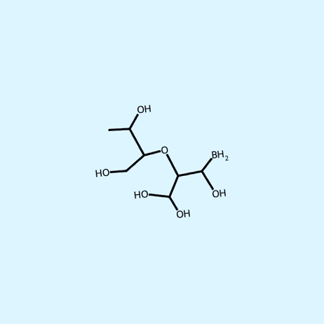 BC(O)C(OC(CO)C(C)O)C(O)O